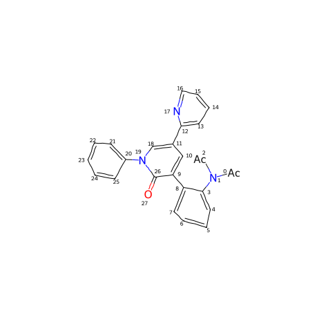 CC(=O)N(C(C)=O)c1ccccc1-c1cc(-c2ccccn2)cn(-c2ccccc2)c1=O